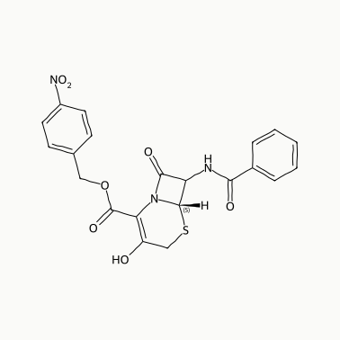 O=C(OCc1ccc([N+](=O)[O-])cc1)C1=C(O)CS[C@H]2C(NC(=O)c3ccccc3)C(=O)N12